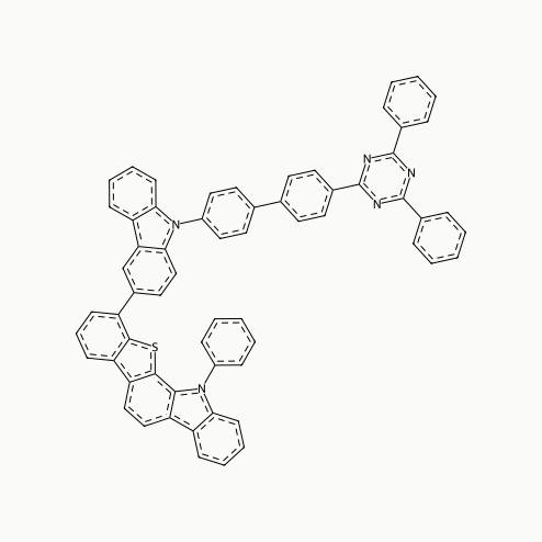 c1ccc(-c2nc(-c3ccccc3)nc(-c3ccc(-c4ccc(-n5c6ccccc6c6cc(-c7cccc8c7sc7c8ccc8c9ccccc9n(-c9ccccc9)c87)ccc65)cc4)cc3)n2)cc1